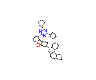 c1ccc(-c2nc(-c3ccccc3)nc(-c3cccc4oc5cc(-c6cc7ccc8ccccc8c7c7ccccc67)ccc5c34)n2)cc1